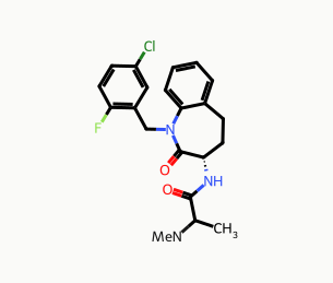 CNC(C)C(=O)N[C@H]1CCc2ccccc2N(Cc2cc(Cl)ccc2F)C1=O